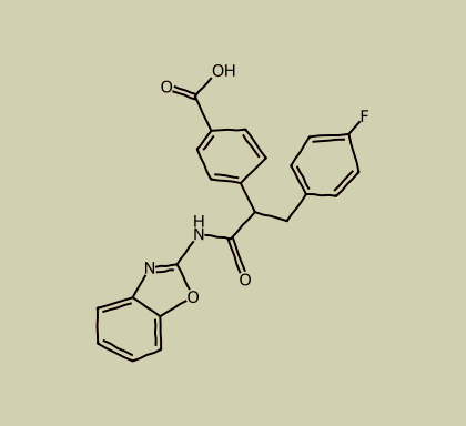 O=C(O)c1ccc(C(Cc2ccc(F)cc2)C(=O)Nc2nc3ccccc3o2)cc1